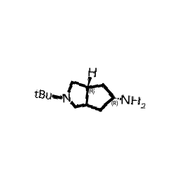 CC(C)(C)N1CC2C[C@@H](N)C[C@H]2C1